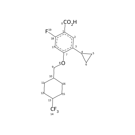 O=C(O)c1cc(C2CC2)c(OCC2CCC(C(F)(F)F)CC2)cc1F